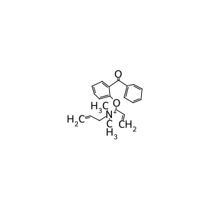 C=CC[N+](C)(C)C(C=C)Oc1ccccc1C(=O)c1ccccc1